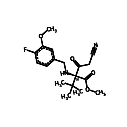 COC(=O)[C@@](NCc1ccc(F)c(OC)c1)(C(=O)CC#N)C(C)(C)C